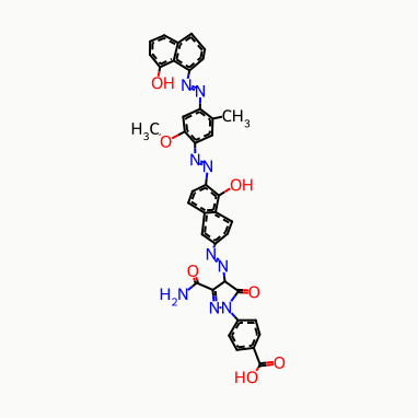 COc1cc(/N=N/c2cccc3cccc(O)c23)c(C)cc1/N=N/c1ccc2cc(/N=N/C3C(=O)N(c4ccc(C(=O)O)cc4)N=C3C(N)=O)ccc2c1O